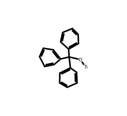 [Ti][O]C(c1ccccc1)(c1ccccc1)c1ccccc1